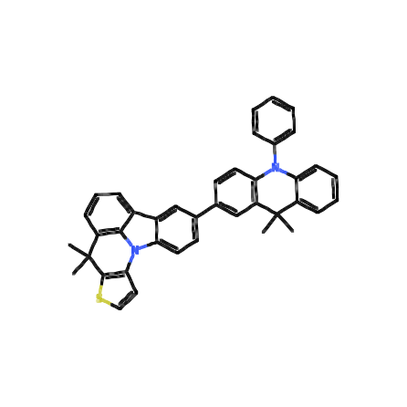 CC1(C)c2ccccc2N(c2ccccc2)c2ccc(-c3ccc4c(c3)c3cccc5c3n4-c3ccsc3C5(C)C)cc21